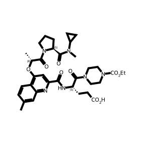 CCOC(=O)N1CCN(C(=O)[C@H](CCC(=O)O)NC(=O)c2cc(O[C@H](C)C(=O)N3CCC[C@H]3C(=O)N(C)C3CC3)c3ccc(C)cc3n2)CC1